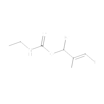 CCNC(=O)OC(Br)/C(I)=C/I